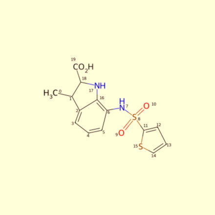 CC1c2cccc(NS(=O)(=O)c3cccs3)c2NC1C(=O)O